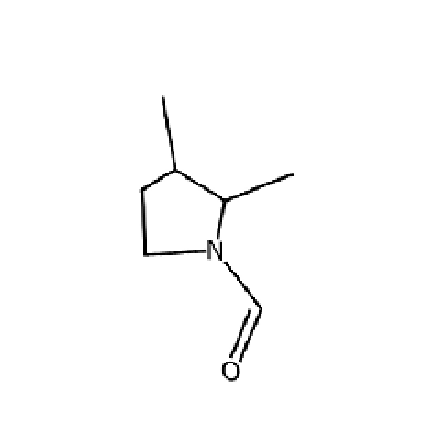 CC1CCN(C=O)C1C